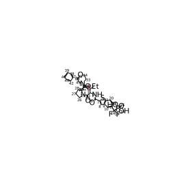 CCC(CC)C(NC(=O)c1cc2cc(C(F)(F)P(=O)(O)O)ccc2s1)C(=O)N1CCC[C@H]1C(=O)N1CCO[C@@H](c2ccccc2)C1